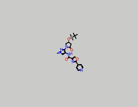 Cn1cc(NC(=O)c2coc(-c3c[c]ncc3)n2)c(N2C[C@@H](O[Si](C)(C)C(C)(C)C)CC2=O)n1